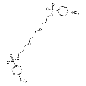 O=[N+]([O-])c1ccc(S(=O)(=O)OCCCOCCCOCCCOS(=O)(=O)c2ccc([N+](=O)[O-])cc2)cc1